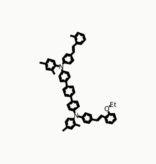 CCOc1ccccc1/C=C/c1ccc(N(c2ccc(-c3ccc(-c4ccc(N(c5ccc(/C=C/c6ccccc6C)cc5)c5ccc(C)cc5C)cc4)cc3)cc2)c2ccc(C)cc2C)cc1